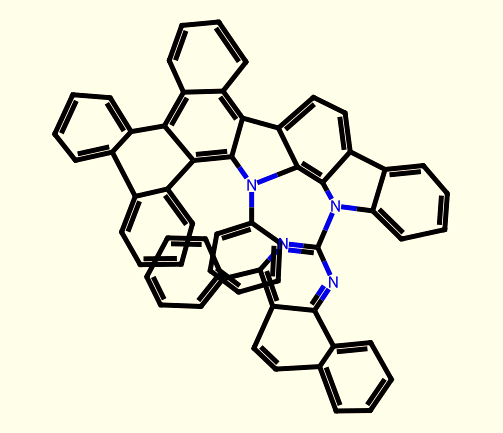 c1ccc(-c2nc(-n3c4ccccc4c4ccc5c6c7ccccc7c7c8ccccc8c8ccccc8c7c6n(-c6ccccc6)c5c43)nc3c2ccc2ccccc23)cc1